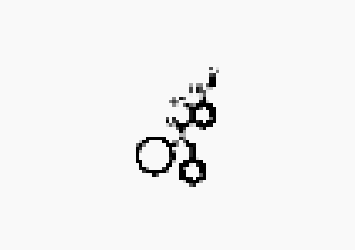 O=CNc1cccc(C(=O)N(Cc2ccccc2)C2CCCCCCCC2)c1O